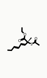 CC/C=C/C=C/[C@@](C)(SC(C)=O)C(=O)OCC